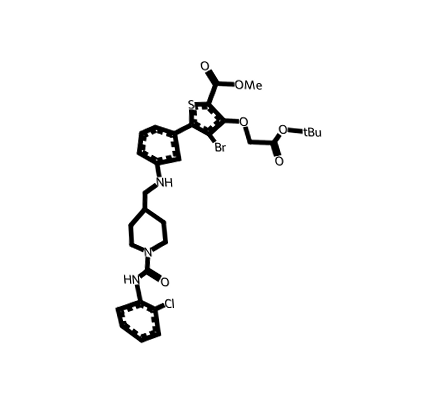 COC(=O)c1sc(-c2cccc(NCC3CCN(C(=O)Nc4ccccc4Cl)CC3)c2)c(Br)c1OCC(=O)OC(C)(C)C